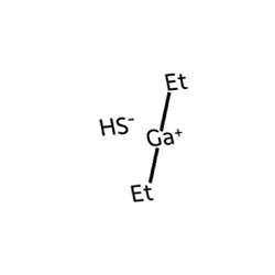 C[CH2][Ga+][CH2]C.[SH-]